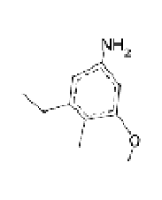 CCc1cc(N)cc(OC)c1C